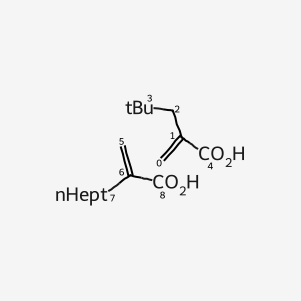 C=C(CC(C)(C)C)C(=O)O.C=C(CCCCCCC)C(=O)O